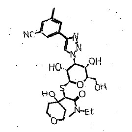 CCN(C)C(=O)C(S[C@@H]1O[C@H](CO)[C@H](O)[C@H](n2cc(-c3cc(C)cc(C#N)c3)nn2)[C@H]1O)C1(O)CCOCC1